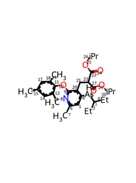 CCC(CC)[AsH]c1cc(C)nc(Oc2c(C)cc(C)cc2C)c1CC(C(=O)OC(C)C)C(=O)OC(C)C